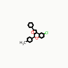 Cc1ccc(C2Oc3ccc(Cl)cc3-c3cc(-c4ccccc4)oc32)cc1